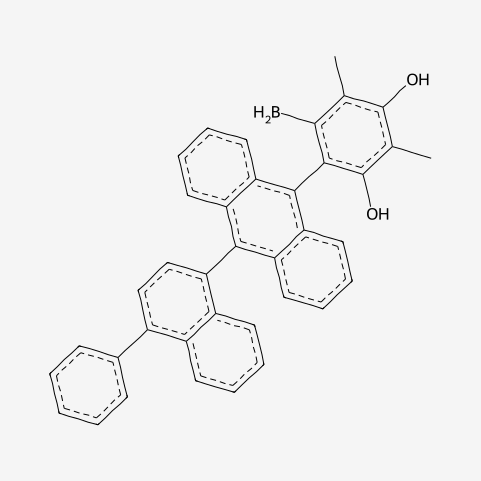 Bc1c(C)c(O)c(C)c(O)c1-c1c2ccccc2c(-c2ccc(-c3ccccc3)c3ccccc23)c2ccccc12